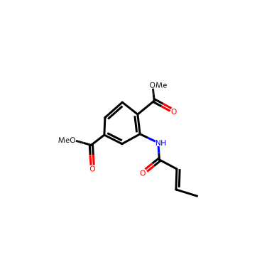 CC=CC(=O)Nc1cc(C(=O)OC)ccc1C(=O)OC